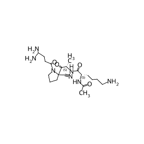 CC(=O)N[C@@H](CCCCN)C(=O)N[C@@H](C)C(=O)C1(C#N)CCCN1C(=O)CCC(N)N